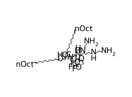 CCCCCCCCC=CCCCCCCCCOCC(C[N+](C)(C)CCNC(=O)C(CCCNCCCN)NCCCN)OCCCCCCCCC=CCCCCCCCC.O=C([O-])C(F)(F)F